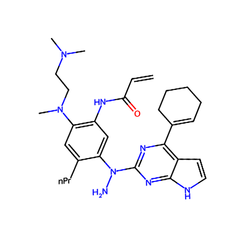 C=CC(=O)Nc1cc(N(N)c2nc(C3=CCCCC3)c3cc[nH]c3n2)c(CCC)cc1N(C)CCN(C)C